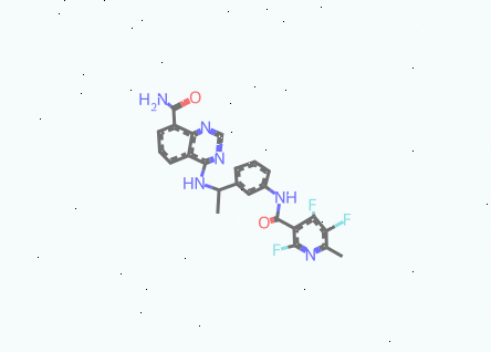 Cc1nc(F)c(C(=O)Nc2cccc(C(C)Nc3ncnc4c(C(N)=O)cccc34)c2)c(F)c1F